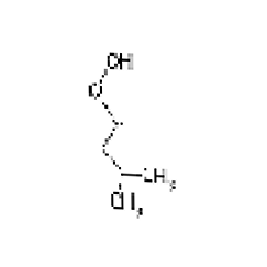 CC(C)C[CH]OO